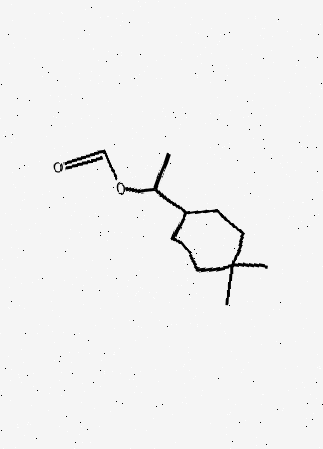 CC(OC=O)C1CCC(C)(C)CC1